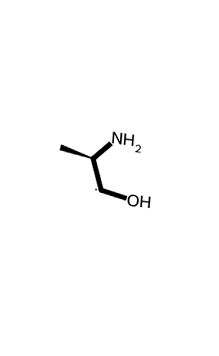 C[C@@H](N)[CH]O